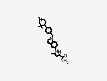 Cc1cc(C(N)=O)nn1-c1ccc2c(ccn2Cc2ccc(C3CCN(C)CC3(C)C)cc2)c1